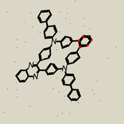 C1=CC2N=C(c3ccc(N(c4ccc(-c5ccccc5)cc4)c4ccc(-c5ccccc5)cc4)cc3)C(c3ccc(N(c4ccc(-c5ccccc5)cc4)c4ccc(-c5ccccc5)cc4)cc3)=NC2C=C1